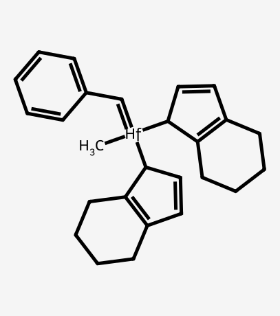 [CH3][Hf](=[CH]c1ccccc1)([CH]1C=CC2=C1CCCC2)[CH]1C=CC2=C1CCCC2